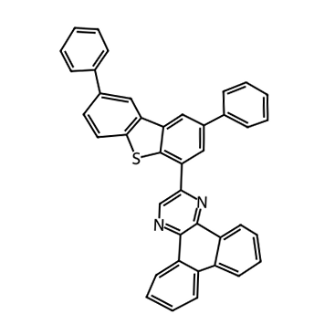 c1ccc(-c2ccc3sc4c(-c5cnc6c7ccccc7c7ccccc7c6n5)cc(-c5ccccc5)cc4c3c2)cc1